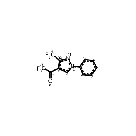 O=C(c1cn(-c2ccccc2)nc1C(F)(F)F)C(F)(F)F